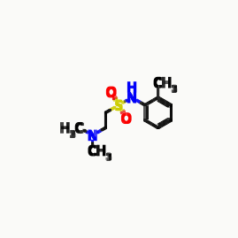 Cc1ccccc1NS(=O)(=O)CCN(C)C